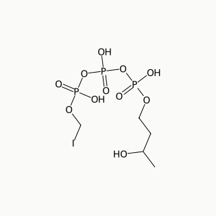 CC(O)CCOP(=O)(O)OP(=O)(O)OP(=O)(O)OCI